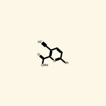 C#Cc1ccc(C(C)C)nc1C(=O)OC